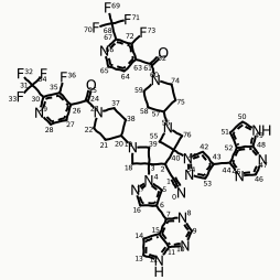 N#CC(C1(n2cc(-c3ncnc4[nH]ccc34)cn2)CN(C2CCN(C(=O)c3ccnc(C(F)(F)F)c3F)CC2)C1)C1(n2cc(-c3ncnc4[nH]ccc34)cn2)CN(C2CCN(C(=O)c3ccnc(C(F)(F)F)c3F)CC2)C1